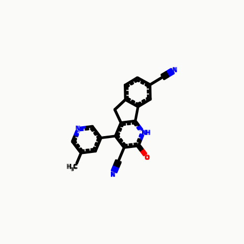 Cc1cncc(-c2c3c([nH]c(=O)c2C#N)-c2cc(C#N)ccc2C3)c1